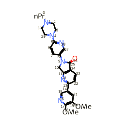 CCCN1CCN(c2ccc(N3Cc4nc(-c5cnc(OC)c(OC)c5)ccc4C3=O)cn2)CC1